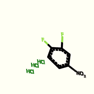 Cl.Cl.Cl.O=[N+]([O-])c1ccc(F)c(F)c1